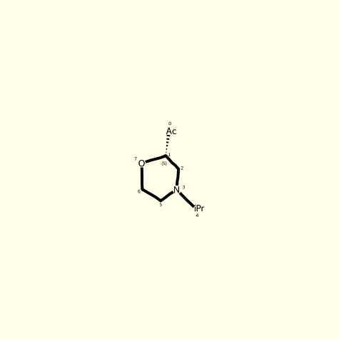 CC(=O)[C@@H]1CN(C(C)C)CCO1